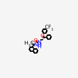 C[C@@H](NC(=O)NCC[C@H](Oc1ccc(C(F)(F)F)cc1)c1ccccc1)c1cccc2ccccc12